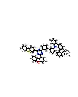 CC1(C)c2cccc3c2-c2c1ccc1c4ccccc4n(c21)-c1cc(-c2cccc(-c4nc(-c5ccc6c(c5)sc5ccccc56)nc(-c5cccc6oc7ccccc7c56)n4)c2)ccc1-3